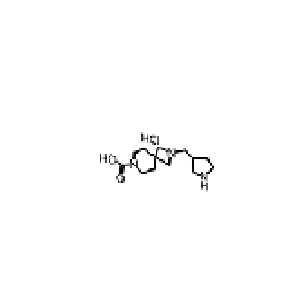 Cl.O=C(O)N1CCC2(CC1)CN(CC1CCNC1)C2